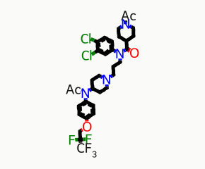 CC(=O)N1CCC(C(=O)N(CCCN2CCC(N(C(C)=O)c3ccc(OCC(F)(F)C(F)(F)F)cc3)CC2)c2ccc(Cl)c(Cl)c2)CC1